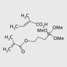 C=C(C)C(=O)OCCC[Si](OC)(OC)OC.CC=C(C)C(=O)O